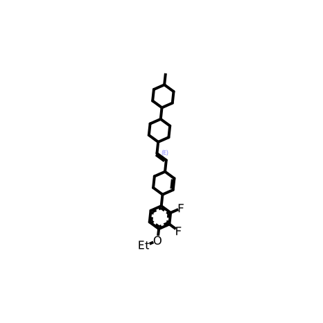 CCOc1ccc(C2C=CC(/C=C/C3CCC(C4CCC(C)CC4)CC3)CC2)c(F)c1F